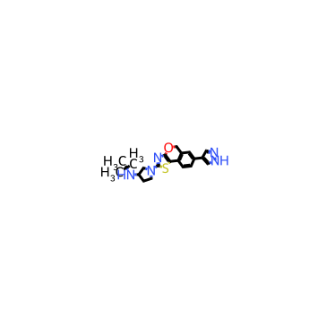 CC(C)(C)NC1CCN(c2nc3c(s2)-c2ccc(-c4cn[nH]c4)cc2CO3)C1